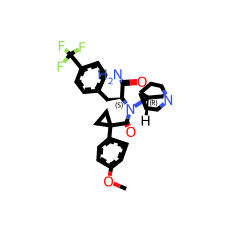 COc1ccc(C2(C(=O)N([C@@H](Cc3ccc(C(F)(F)F)cc3)C(N)=O)[C@H]3CN4CCC3CC4)CC2)cc1